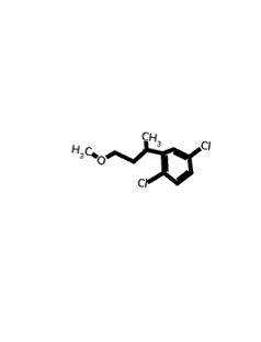 COCC[C](C)c1cc(Cl)ccc1Cl